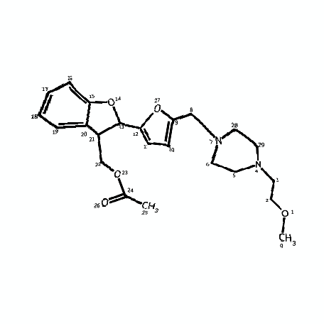 COCCN1CCN(Cc2ccc(C3Oc4ccccc4C3COC(C)=O)o2)CC1